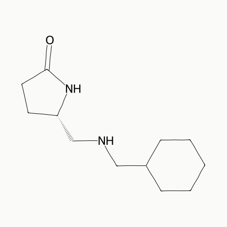 O=C1CC[C@@H](CNCC2CCCCC2)N1